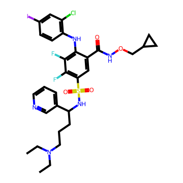 CCN(CC)CCCC(NS(=O)(=O)c1cc(C(=O)NOCC2CC2)c(Nc2ccc(I)cc2Cl)c(F)c1F)c1cccnc1